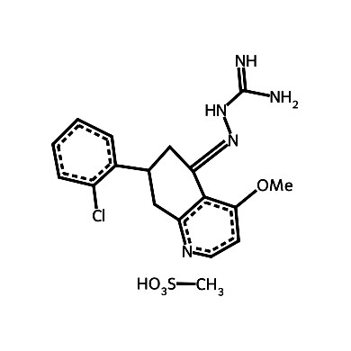 COc1ccnc2c1C(=NNC(=N)N)CC(c1ccccc1Cl)C2.CS(=O)(=O)O